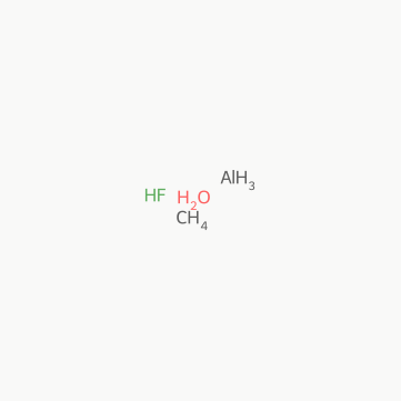 C.F.O.[AlH3]